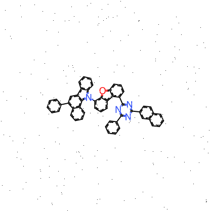 c1ccc(-c2nc(-c3ccc4ccccc4c3)nc(-c3cccc4oc5c(-n6c7ccccc7c7cc(-c8ccccc8)c8ccccc8c76)cccc5c34)n2)cc1